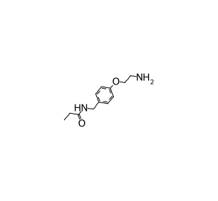 CCC(=O)NCc1ccc(OCCN)cc1